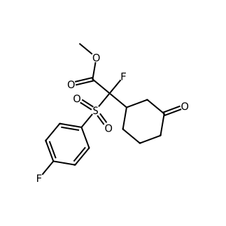 COC(=O)C(F)(C1CCCC(=O)C1)S(=O)(=O)c1ccc(F)cc1